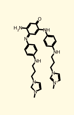 CN1C=CN(CCCNc2ccc(N=C3C=C(Nc4ccc(NCCCn5cc[n+](C)c5)cc4)C(=O)C=C3N)cc2)C1